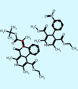 CCOC(=O)C1=C(C)NC(C)=C(C(=O)OC)C1c1cccc([N+](=O)[O-])c1.CCOC(=O)C1=C(C)NC(C)=C(C(=O)OCC)C1c1ccccc1/C=C/C(=O)OC(C)(C)C